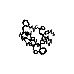 CC(=O)CC(C)C.CN1C(=O)[C@@H](NC(=O)c2nnc(Cc3ccccc3)[nH]2)COc2ccccc21